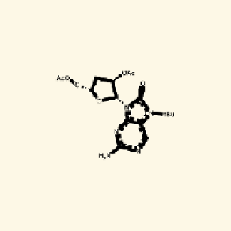 CCCCn1c(=O)n([C@@H]2O[C@H](COC(C)=O)C[C@H]2OC(C)=O)c2nc(N)ncc21